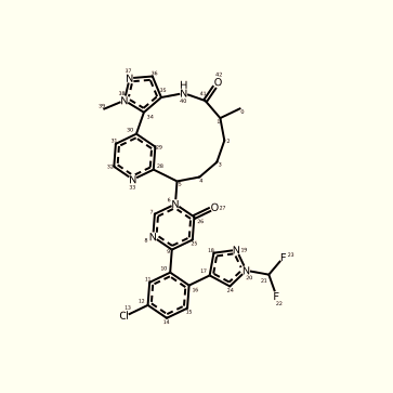 CC1CCCC(n2cnc(-c3cc(Cl)ccc3-c3cnn(C(F)F)c3)cc2=O)c2cc(ccn2)-c2c(cnn2C)NC1=O